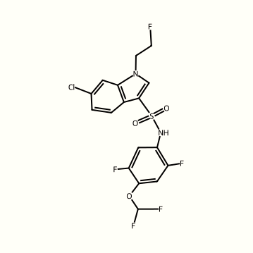 O=S(=O)(Nc1cc(F)c(OC(F)F)cc1F)c1cn(CCF)c2cc(Cl)ccc12